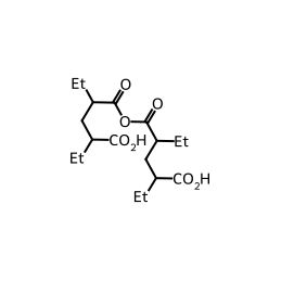 CCC(CC(CC)C(=O)OC(=O)C(CC)CC(CC)C(=O)O)C(=O)O